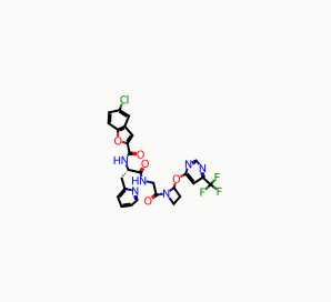 O=C(N[C@@H](Cc1ccccn1)C(=O)NCC(=O)N1CCC1Oc1cc(C(F)(F)F)ncn1)c1cc2cc(Cl)ccc2o1